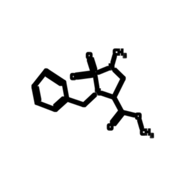 COC(=O)C1CN(C)S(=O)(=O)N1Cc1ccccc1